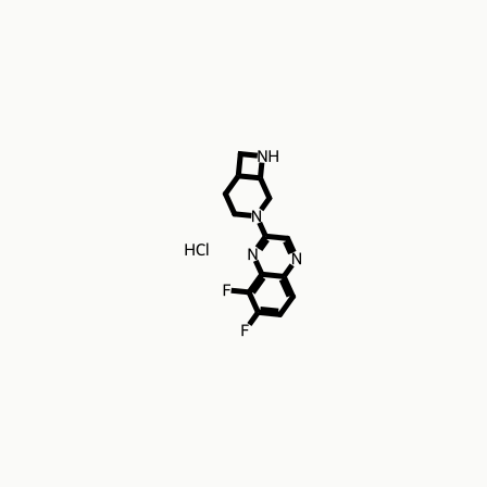 Cl.Fc1ccc2ncc(N3CCC4CNC4C3)nc2c1F